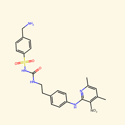 Cc1cc(C)c([N+](=O)[O-])c(Nc2ccc(CCNC(=O)NS(=O)(=O)c3ccc(CN)cc3)cc2)n1